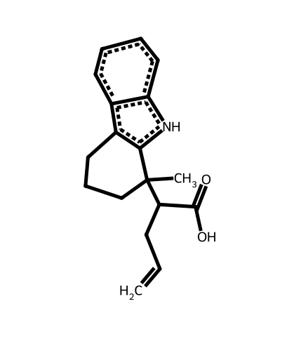 C=CCC(C(=O)O)C1(C)CCCc2c1[nH]c1ccccc21